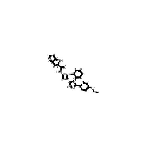 CCOc1ccc(-c2nnc([C@H]3C[C@H](NC(=O)c4cc5sccc5[nH]4)C3)n2-c2ccccc2F)nc1